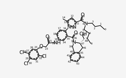 CCCCN(CCCC)C(=O)c1cc(C)n(-c2ccc(NC(=O)COc3cc(Cl)c(Cl)cc3Cl)cc2C(=O)N2Cc3ccccc3C[C@H]2CO)n1